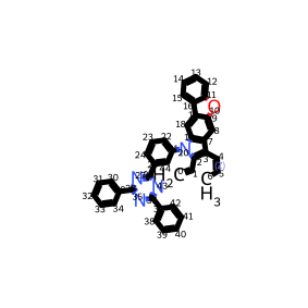 C=Cc1c(/C=C\C)c2cc3oc4ccccc4c3cc2n1-c1cccc(-c2nc(-c3ccccc3)nc(-c3ccccc3)n2)c1